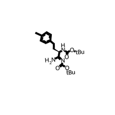 Cc1ccc(CC[C@@H](NC(=O)OC(C)(C)C)/C(N)=N/C(=O)OC(C)(C)C)cc1